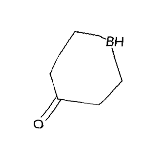 O=C1CCBCC1